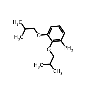 CC(C)COc1cccc(P)c1OCC(C)C